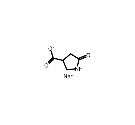 O=C1CC(C(=O)[O-])CN1.[Na+]